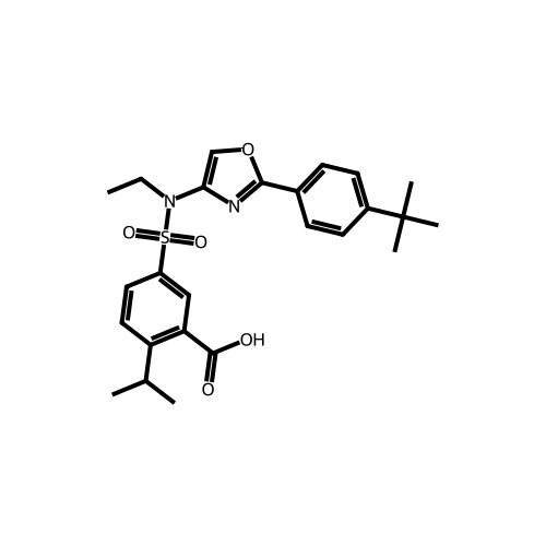 CCN(c1coc(-c2ccc(C(C)(C)C)cc2)n1)S(=O)(=O)c1ccc(C(C)C)c(C(=O)O)c1